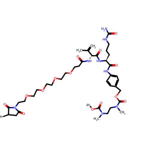 C=C(C)[C@@H](NC(=O)CCOCCOCCOCCOCCN1C(=O)CC(C(C)C)C1=O)C(=O)N[C@@H](CCCNC(N)=O)C(=O)Nc1ccc(COC(=O)N(C)CCN(C)C(=O)OC(C)C)cc1